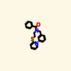 O=C(c1ccccc1)N(CCSc1ccccn1)Cc1ccccc1